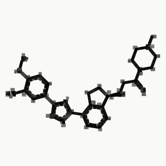 CC(C)Oc1ccc(-c2nc(-c3cccc4c3CC[C@H]4NCC(=O)N3CCN(C)CC3)no2)cc1N